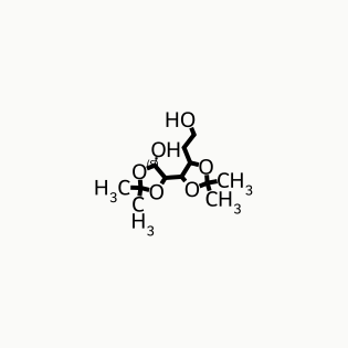 CC1(C)OC(CCO)C(C2OC(C)(C)O[C@@H]2O)O1